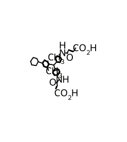 Cc1cc(C2CCCCC2)cc(C)c1C(c1ccc(NC(=O)/C=C/C(=O)O)cc1)c1ccc(NC(=O)/C=C/C(=O)O)cc1